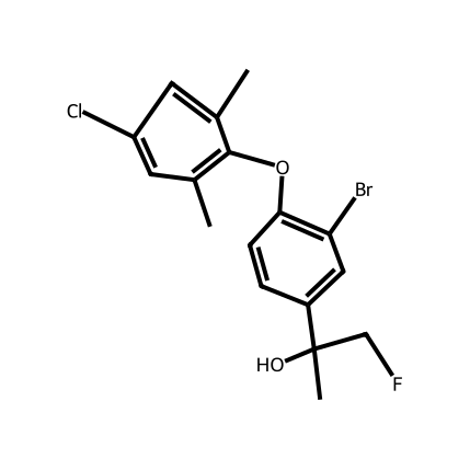 Cc1cc(Cl)cc(C)c1Oc1ccc(C(C)(O)CF)cc1Br